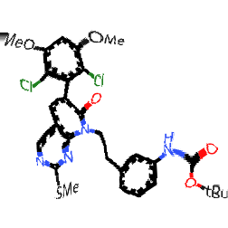 COc1cc(OC)c(Cl)c(-c2cc3cnc(SC)nc3n(CCc3cccc(NC(=O)OC(C)(C)C)c3)c2=O)c1Cl